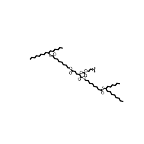 CCCCCCCCC(CCCCCC)SC(=O)CCCCCCCOC(=O)CCC(OC(=O)OCCN(C)C)C(=O)OCCCCCCCC(=O)SC(CCCCCC)CCCCCCCC